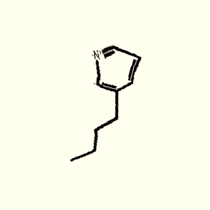 CCCCC1=[C][N+]=CC=C1